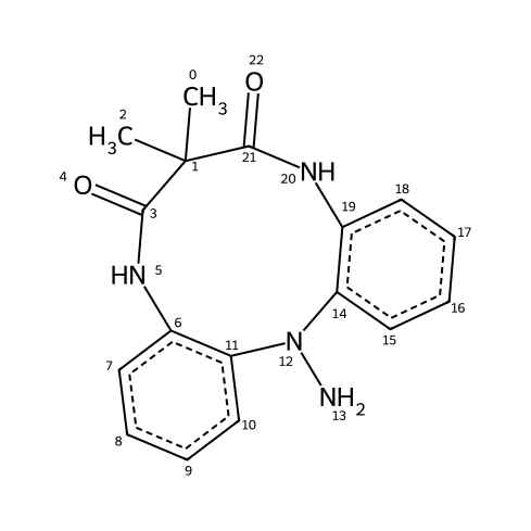 CC1(C)C(=O)Nc2ccccc2N(N)c2ccccc2NC1=O